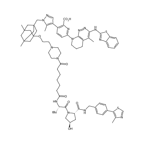 Cc1ncsc1-c1ccc(CNC(=O)[C@@H]2C[C@@H](O)CN2C(=O)[C@@H](NC(=O)CCCCCC(=O)N2CCN(CCOC34CC5(C)CC(C)(CC(Cn6ncc(-c7ccc(N8CCCc9c8nnc(Nc8nc%10ccccc%10s8)c9C)nc7C(=O)O)c6C)(C5)C3)C4)CC2)C(C)(C)C)cc1